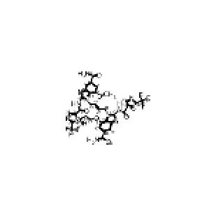 COc1cc(C(N)=O)cc2nc(NC(=O)c3cnc(C(F)(F)F)s3)n(CC=CCn3c(NC(=O)c4cnc(C(F)(F)F)s4)nc4cc(C(N)=O)cc(OCCCO)c43)c12